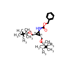 CC(C)(C)[Si](C)(C)OC[C@H]1C(NC(=O)OCc2ccccc2)[C@@H]1CO[Si](C)(C)C(C)(C)C